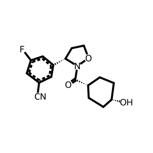 N#Cc1cc(F)cc([C@@H]2CCON2C(=O)[C@H]2CC[C@@H](O)CC2)c1